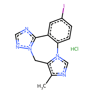 Cc1ncn2c1Cn1ncnc1-c1cc(I)ccc1-2.Cl